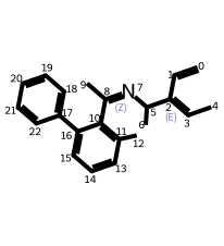 C=C/C(=C\C)C(C)/N=C(/C)c1c(C)cccc1-c1ccccc1